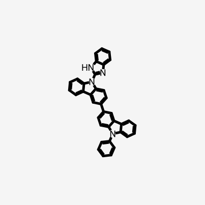 c1ccc(-n2c3ccccc3c3cc(-c4ccc5c(c4)c4ccccc4n5-c4nc5ccccc5[nH]4)ccc32)cc1